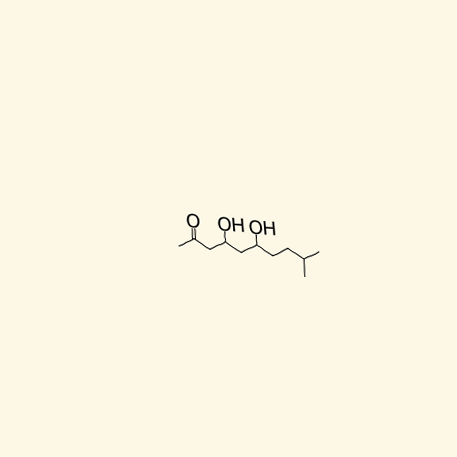 CC(=O)CC(O)CC(O)CCC(C)C